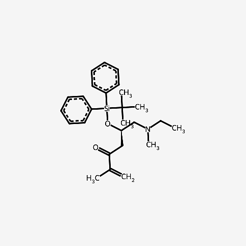 C=C(C)C(=O)C[C@H](CN(C)CC)O[Si](c1ccccc1)(c1ccccc1)C(C)(C)C